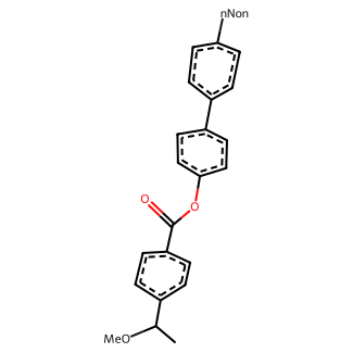 CCCCCCCCCc1ccc(-c2ccc(OC(=O)c3ccc(C(C)OC)cc3)cc2)cc1